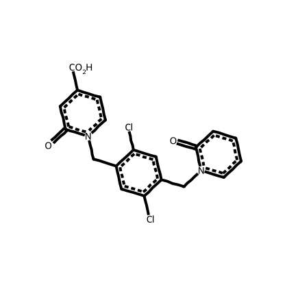 O=C(O)c1ccn(Cc2cc(Cl)c(Cn3ccccc3=O)cc2Cl)c(=O)c1